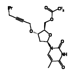 Cc1cn([C@H]2C[C@H](OCC#CCC(C)C)[C@@H](COC(=O)C(F)(F)F)O2)c(=O)[nH]c1=O